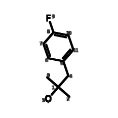 CC(C)([O])Cc1ccc(F)cc1